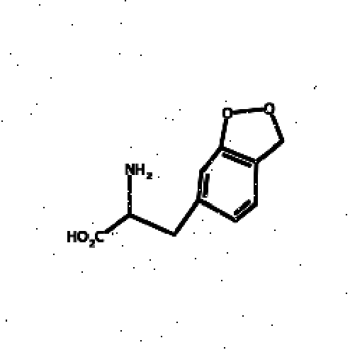 NC(Cc1ccc2c(c1)OOC2)C(=O)O